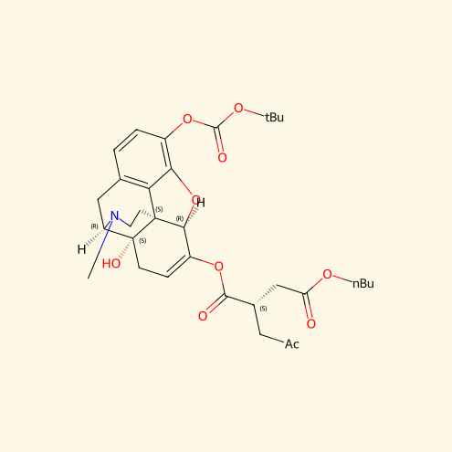 CCCCOC(=O)C[C@H](CC(C)=O)C(=O)OC1=CC[C@@]2(O)[C@H]3Cc4ccc(OC(=O)OC(C)(C)C)c5c4[C@@]2(CCN3C)[C@H]1O5